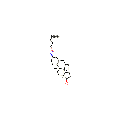 C=C1CC2CC(=NOCCCNC)CC[C@]2(C)[C@@H]2CC[C@]3(C)C(=O)CC[C@H]3[C@H]12